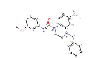 COc1cccc(NC(=O)N2CCN(Cc3ccccc3)c3cc(OC)ccc32)c1